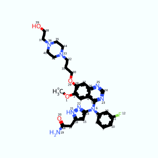 COc1cc2c(N(c3cccc(F)c3)c3cc(CC(N)=O)[nH]n3)ncnc2cc1OCCCN1CCN(CCO)CC1